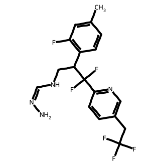 Cc1ccc(C(CN/C=N\N)C(F)(F)c2ccc(CC(F)(F)F)cn2)c(F)c1